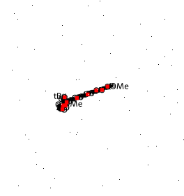 COCCOCCOCCOCCOCCOCCOCCOCCOCCN(C[C@@H](C(=O)OC)N1C(=O)C=CC1=O)C(=O)OC(C)(C)C